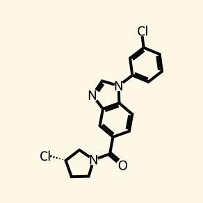 O=C(c1ccc2c(c1)ncn2-c1cccc(Cl)c1)N1CC[C@H](Cl)C1